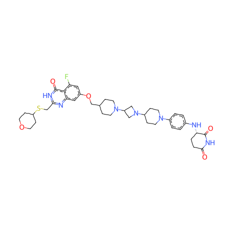 O=C1CC[C@H](Nc2ccc(N3CCC(N4CC(N5CCC(COc6cc(F)c7c(=O)[nH]c(CSC8CCOCC8)nc7c6)CC5)C4)CC3)cc2)C(=O)N1